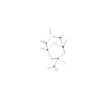 CN1C(=O)C2(C)CC(C)(C(N)=O)CC(C)(C2)C1=O